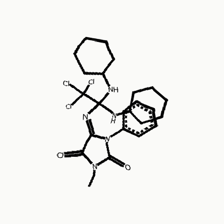 CN1C(=O)C(=NC(NC2CCCCC2)(NC2CCCCC2)C(Cl)(Cl)Cl)N(c2ccccc2)C1=O